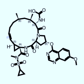 COc1ccc2c(O[C@@H]3C[C@H]4C(=O)N[C@]5(C(=O)N(C)S(=O)(=O)C6CC6)C[C@H]5/C=C\CC[C@@H](C)C[C@@H](C)[C@H](NC(=O)O)C(=O)N4C3)ncnc2c1